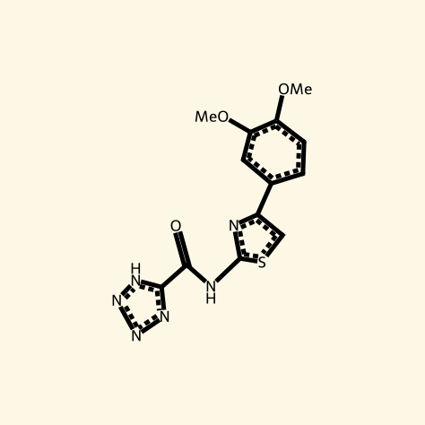 COc1ccc(-c2csc(NC(=O)c3nnn[nH]3)n2)cc1OC